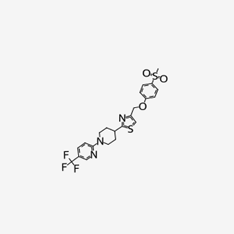 CS(=O)(=O)c1ccc(OCc2csc(C3CCN(c4ccc(C(F)(F)F)cn4)CC3)n2)cc1